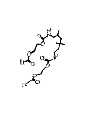 CCC(=O)OCCOC(=O)NCCC(C)(C)CC(C)CNC(=O)OCCOC(=O)CC